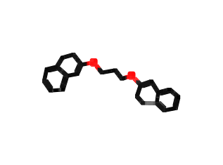 C1=C(OCCCOC2=Cc3ccccc3CC2)CCc2ccccc21